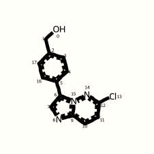 OCc1ccc(-c2cnc3ccc(Cl)nn23)cc1